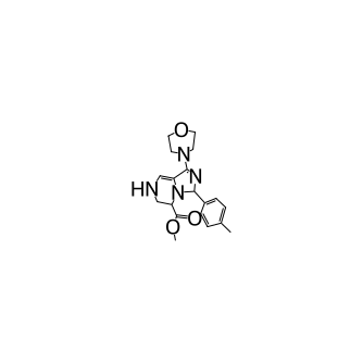 COC(=O)C1CNC=C2C(N3CCOCC3)=NC(c3ccc(C)cc3)N21